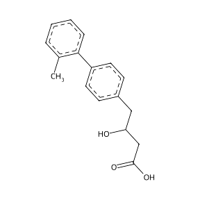 Cc1ccccc1-c1ccc(CC(O)CC(=O)O)cc1